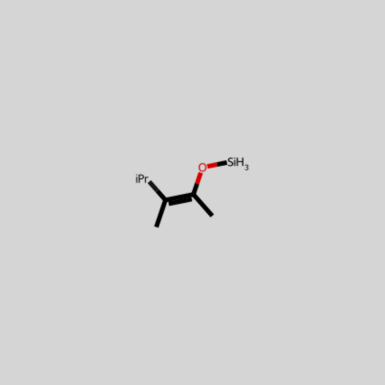 CC(O[SiH3])=C(C)C(C)C